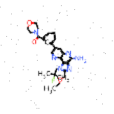 CCOCc1nc2c(N)nc3cc(-c4cccc(C(=O)N5CCOCC5)c4)cnc3c2n1CC(C)(C)F